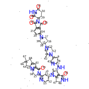 Cc1c(-n2cc(Nc3ccc(N4CCN(C5CCN(c6ccc7c(c6)C(=O)N(C6CCC(=O)NC6=O)C7=O)CC5)C[C@@H]4C)cn3)c3c2CCNC3=O)ccnc1N1CCn2c(cc3c2CC(C)(C)C3)C1=O